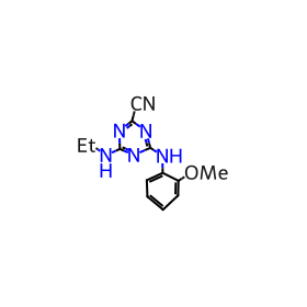 CCNc1nc(C#N)nc(Nc2ccccc2OC)n1